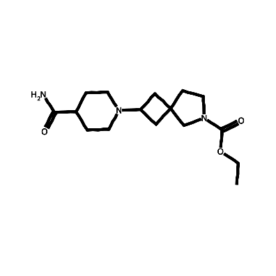 CCOC(=O)N1CCC2(CC(N3CCC(C(N)=O)CC3)C2)C1